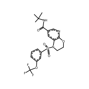 CC(C)(C)NC(=O)c1cnc2c(c1)N(S(=O)(=O)c1cccc(OC(F)(F)F)c1)CCO2